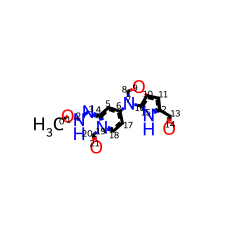 CON/N=c1/cc(N2COc3cc(C=O)[nH]c32)ccn1C=O